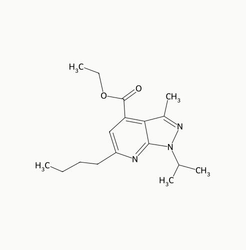 CCCCc1cc(C(=O)OCC)c2c(C)nn(C(C)C)c2n1